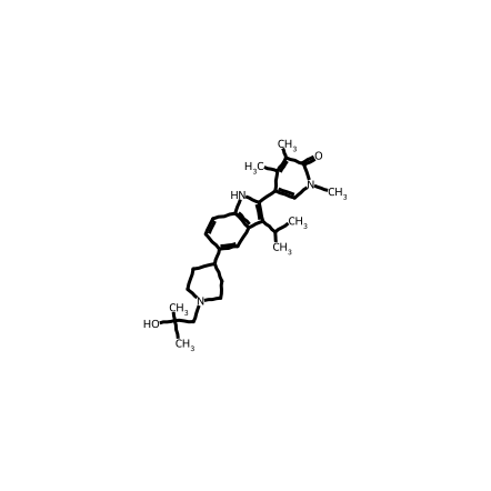 Cc1c(-c2[nH]c3ccc(C4CCN(CC(C)(C)O)CC4)cc3c2C(C)C)cn(C)c(=O)c1C